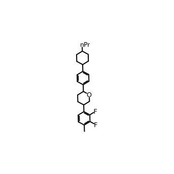 CCCC1CCC(c2ccc(C3CCC(c4ccc(C)c(F)c4F)CO3)cc2)CC1